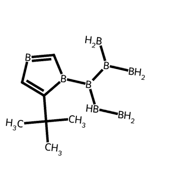 BBB(B(B)B)B1C=BC=C1C(C)(C)C